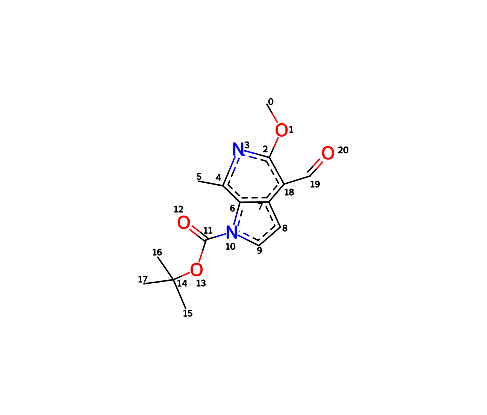 COc1nc(C)c2c(ccn2C(=O)OC(C)(C)C)c1C=O